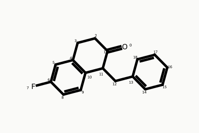 O=C1CCc2cc(F)ccc2C1Cc1ccccc1